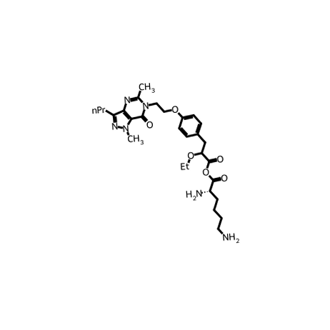 CCCc1nn(C)c2c(=O)n(CCOc3ccc(CC(OCC)C(=O)OC(=O)[C@@H](N)CCCCN)cc3)c(C)nc12